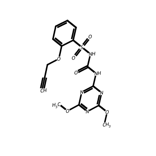 C#CCOc1ccccc1S(=O)(=O)NC(=O)Nc1nc(OC)nc(OC)n1